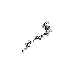 COc1ccc(C2=CN3C(=O)c4cc(OC)c(OCC(C)CC(C)(C)COc5cc6c(cc5OC)C(=O)N5C=C(c7ccc(NC(=O)C(C)NC(=O)C(NC(=O)C(C)(N)CC(C)(C)N8C(=O)C=CC8=O)C(C)C)cc7)CC5C=N6)cc4N=CC3C2)cc1